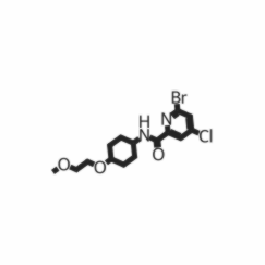 COCCOC1CCC(NC(=O)c2cc(Cl)cc(Br)n2)CC1